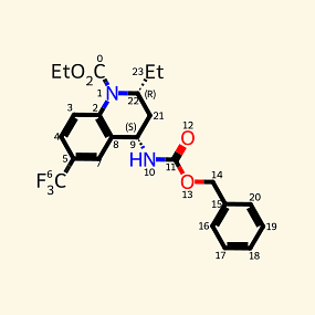 CCOC(=O)N1c2ccc(C(F)(F)F)cc2[C@@H](NC(=O)OCc2ccccc2)C[C@H]1CC